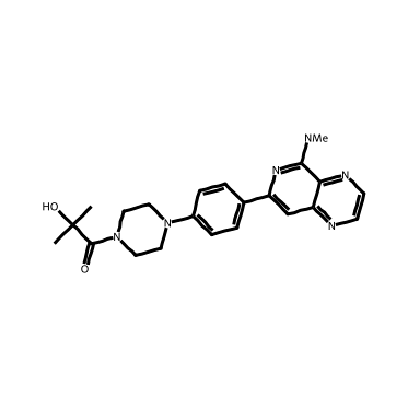 CNc1nc(-c2ccc(N3CCN(C(=O)C(C)(C)O)CC3)cc2)cc2nccnc12